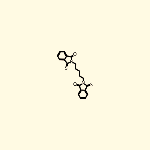 O=C1c2ccccc2C(=S)N1CCCCCN1C(=O)c2ccccc2C1=S